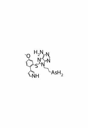 COc1ccc(-c2cc[nH]c2)c(Sc2nc3c(N)ncnc3n2CCC[AsH2])c1